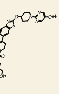 COc1cnc(N2CCC(Oc3nc4ccc(C5=CCN(S(=O)(=O)CCCCO)CC5)cc4s3)CC2)nc1